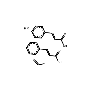 CC=O.O.O=C(O)C=Cc1ccccc1.O=C(O)C=Cc1ccccc1